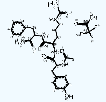 CC(=O)NC(Cc1ccc(O)cc1)C(=O)NC(CCCNC(=N)N)C(=O)NC(Cc1ccccc1)C(N)=O.O=C(O)C(F)(F)F